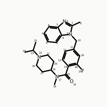 Cc1nc2ccccc2n1Cc1ccc(C(=O)N(C)C2CCN(C(C)C)CC2)c(F)c1